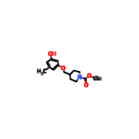 Cc1cc(O)cc(OCC2CCN(C(=O)OC(C)(C)C)CC2)c1